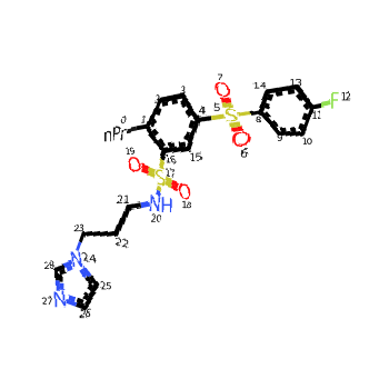 CCCc1ccc(S(=O)(=O)c2ccc(F)cc2)cc1S(=O)(=O)NCCCn1ccnc1